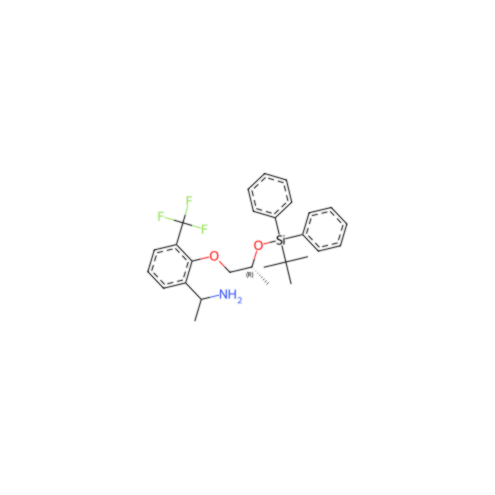 CC(N)c1cccc(C(F)(F)F)c1OC[C@@H](C)O[Si](c1ccccc1)(c1ccccc1)C(C)(C)C